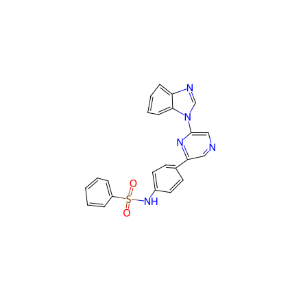 O=S(=O)(Nc1ccc(-c2cncc(-n3cnc4ccccc43)n2)cc1)c1ccccc1